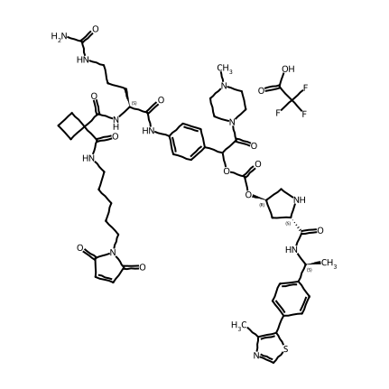 Cc1ncsc1-c1ccc([C@H](C)NC(=O)[C@@H]2C[C@@H](OC(=O)OC(C(=O)N3CCN(C)CC3)c3ccc(NC(=O)[C@H](CCCNC(N)=O)NC(=O)C4(C(=O)NCCCCCN5C(=O)C=CC5=O)CCC4)cc3)CN2)cc1.O=C(O)C(F)(F)F